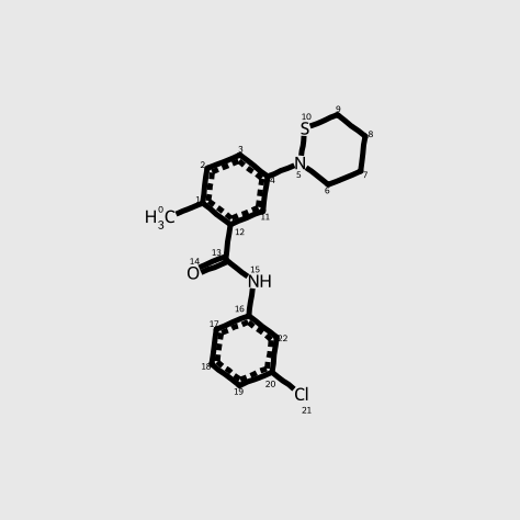 Cc1ccc(N2CCCCS2)cc1C(=O)Nc1cccc(Cl)c1